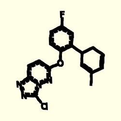 CC1=CC(c2cc(F)ccc2Oc2ccc3nnc(Cl)n3n2)CC=C1